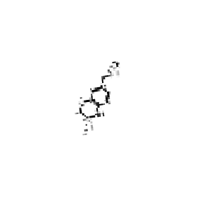 CCNCc1ccc2c(c1)OC[C@@H](O)N2